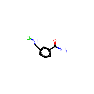 NC(=O)c1cccc(CNCl)c1